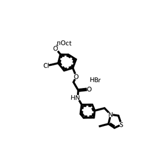 Br.CCCCCCCCOc1ccc(OCC(=O)Nc2cccc(CN3CSC=C3C)c2)cc1Cl